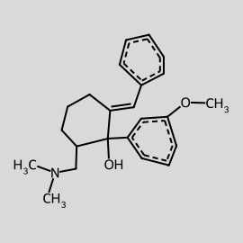 COc1cccc(C2(O)C(=Cc3ccccc3)CCCC2CN(C)C)c1